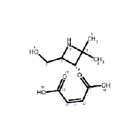 CC1(C)CC(CO)N1.O=C(O)/C=C\C(=O)O